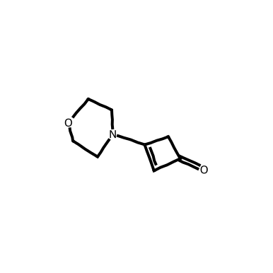 O=C1C=C(N2CCOCC2)C1